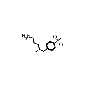 C[C@@H](CCCN)Cc1ccc(S(C)(=O)=O)cc1